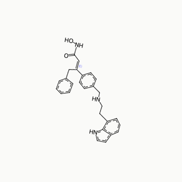 O=C(/C=C(\Cc1ccccc1)c1ccc(CNCCc2cccc3cc[nH]c23)cc1)NO